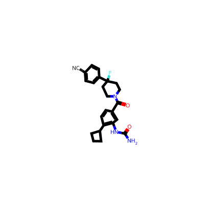 N#Cc1ccc(C2(F)CCN(C(=O)c3ccc(C4CCC4)c(NC(N)=O)c3)CC2)cc1